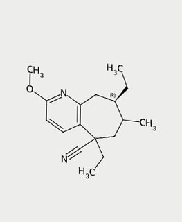 CC[C@@H]1Cc2nc(OC)ccc2C(C#N)(CC)CC1C